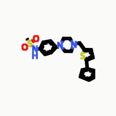 CS(=O)(=O)Nc1ccc(N2CCN(Cc3ccc(-c4ccccc4)s3)CC2)cc1